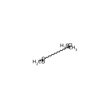 C=CC(=O)OCCCCCCCCCCCCCCCCC[Si](C)(C)Cl